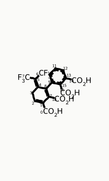 O=C(O)C1=CCC(=C(C(F)(F)F)C(F)(F)F)C(c2cccc(C(=O)O)c2C(=O)O)=C1C(=O)O